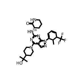 CC1C(n2ncc3c(N4CCC(C(C)(C)O)CC4)nc(N[C@H]4CCCNC4=O)nc32)=CC=CC1C(F)(F)F